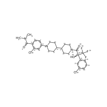 CN(C)C(=O)c1ccc(N2CCC(C3CCN(C(=O)[C@@](O)(c4cccc(Cl)c4)C(F)(F)F)CC3)CC2)cc1Cl